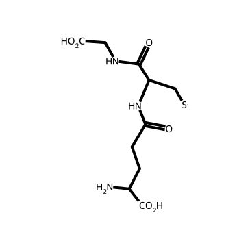 NC(CCC(=O)NC(C[S])C(=O)NCC(=O)O)C(=O)O